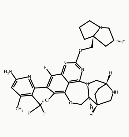 Cc1cc(N)nc(-c2c(Cl)c3c4c(nc(OC[C@@]56CCCN5C[C@H](F)C6)nc4c2F)N2C[C@H]4CC[C@H](CN4)[C@H]2CO3)c1C(F)(F)F